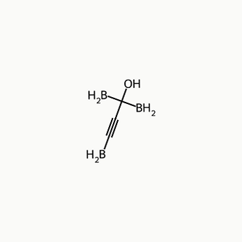 BC#CC(B)(B)O